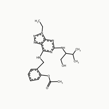 CCn1nnc2c(NCc3ccccc3OC(C)=O)nc(NC(CO)C(C)C)nc21